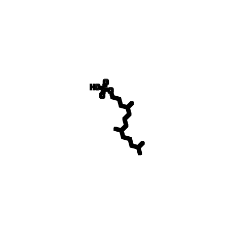 CC(C)CCCC(C)CCCC(C)CCCOS(=O)(=O)O